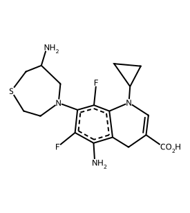 Nc1c(F)c(N2CCSCC(N)C2)c(F)c2c1CC(C(=O)O)=CN2C1CC1